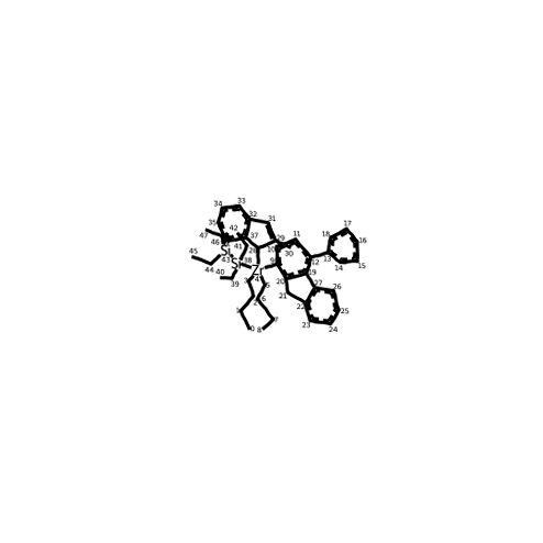 CCC[CH2][Zr]([CH2]CCC)([c]1ccc(-c2ccccc2)c2c1Cc1ccccc1-2)([CH]1C(C)=Cc2ccccc21)[Si](CC)(CC)[SiH](CC)CC